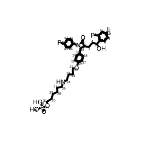 O=C1C(CCC(O)c2ccc(F)cc2F)C(c2ccc(OCCCCNCCCCCCOP(=O)(O)O)cc2)N1c1ccc(F)cc1